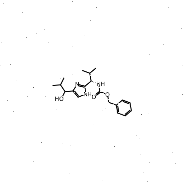 CC(C)C(O)c1c[nH]c([C@@H](NC(=O)OCc2ccccc2)C(C)C)n1